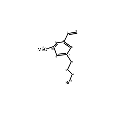 C=Cc1cc(CCCBr)cc(OC)c1